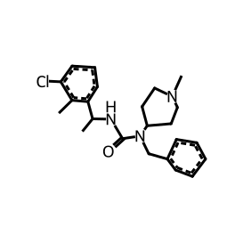 Cc1c(Cl)cccc1C(C)NC(=O)N(Cc1ccccc1)C1CCN(C)CC1